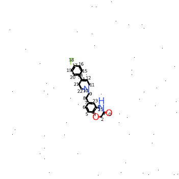 O=C1COc2ccc(CCN3CC=C(c4ccc(F)cc4)CC3)cc2N1